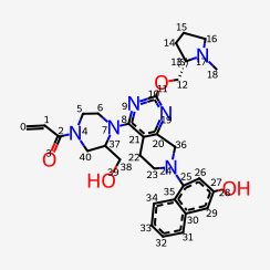 C=CC(=O)N1CCN(c2nc(OC[C@@H]3CCCN3C)nc3c2CCN(c2cc(O)cc4ccccc24)C3)C(CO)C1